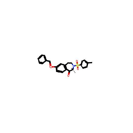 Cc1ccc(S(=O)(=O)N2CCc3cc(OCc4ccccc4)ccc3C(=O)[C@H]2C)cc1